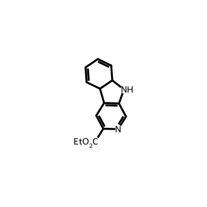 CCOC(=O)c1cc2c(cn1)NC1C=CC=CC21